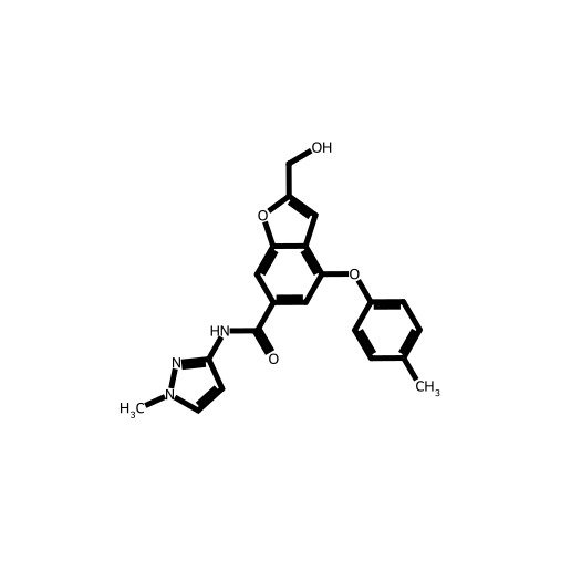 Cc1ccc(Oc2cc(C(=O)Nc3ccn(C)n3)cc3oc(CO)cc23)cc1